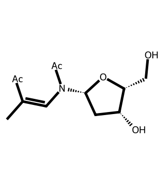 CC(=O)/C(C)=C\N(C(C)=O)[C@H]1C[C@@H](O)[C@@H](CO)O1